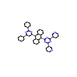 c1ccc(-c2cc(-c3c4ccccc4c(-c4nc(-c5cccnc5)nc(-c5cccnc5)n4)c4ccccc34)nc(-c3ccccc3)n2)cc1